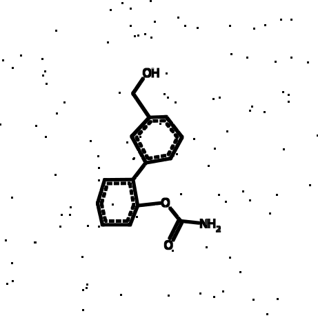 NC(=O)Oc1ccccc1-c1cccc(CO)c1